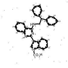 O=C(O)n1cc(-c2nc(NCC(c3ccccc3)c3ccccc3)c3ccccc3n2)c2ccccc21